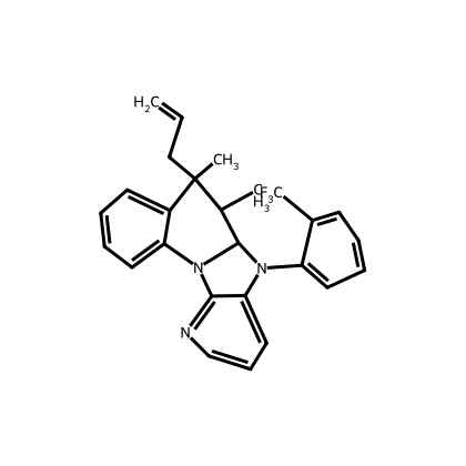 C=CCC1(C)c2ccccc2N2c3ncccc3N(c3ccccc3C(F)(F)F)C2C1C